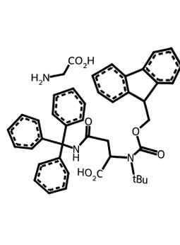 CC(C)(C)N(C(=O)OCC1c2ccccc2-c2ccccc21)C(CC(=O)NC(c1ccccc1)(c1ccccc1)c1ccccc1)C(=O)O.NCC(=O)O